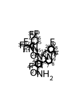 NC(=O)c1cc(-c2cccnc2C(Cc2cc(F)cc(F)c2)NC(=O)Cn2nc(C(F)(F)F)c3c2CCC(F)(F)C3)ccc1F